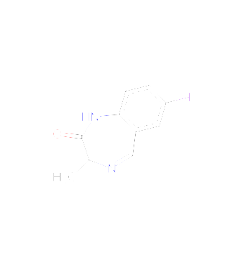 CC1N=Cc2cc(I)ccc2NC1=O